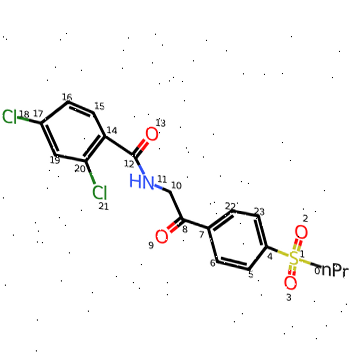 CCCS(=O)(=O)c1ccc(C(=O)CNC(=O)c2ccc(Cl)cc2Cl)cc1